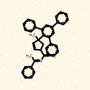 C=C(/N=C(\C)c1ccccc1)C1C=CC(C)(c2c(-c3ccccc3)cc(-c3ccccc3)cc2-c2ccccc2)C1